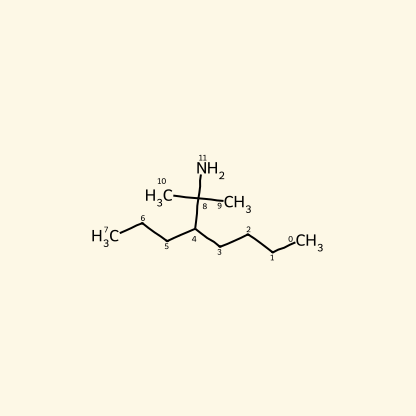 CCCCC(CCC)C(C)(C)N